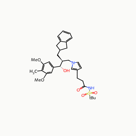 COc1cc([C@@H](O)[C@@H](CC2Cc3ccccc3C2)Cn2ccc(CCC(=O)NS(=O)(=O)C(C)(C)C)c2)cc(OC)c1C